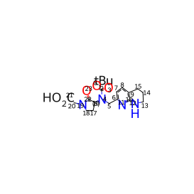 CC(C)(C)OC(=O)N(Cc1ccc2c(n1)NCCC2)[C@H]1CCN(CC(=O)O)C1=O